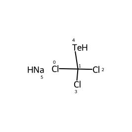 ClC(Cl)(Cl)[TeH].[NaH]